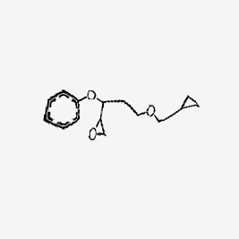 c1ccc(OC(CCOCC2CC2)C2CO2)cc1